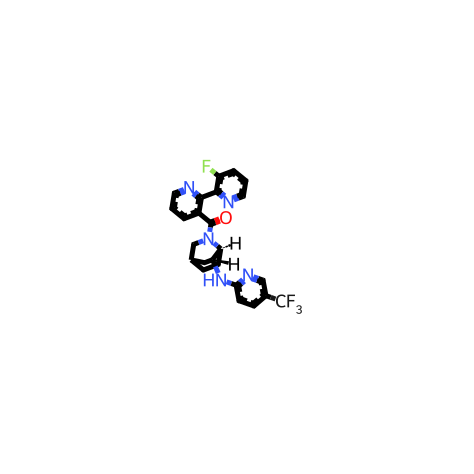 O=C(c1cccnc1-c1ncccc1F)N1CC2CC[C@H]1[C@H](Nc1ccc(C(F)(F)F)cn1)C2